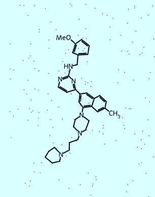 COc1cccc(CNc2nccc(-c3cc(N4CCN(CCCN5CCCCC5)CC4)c4cc(C)ccc4c3)n2)c1